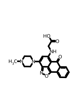 CN1CCN(c2cc(NCC(=O)O)c3c4c(onc24)-c2ccccc2C3=O)CC1